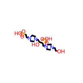 O=S(=O)(O)CCN1CCN(CC(O)C(CN2CCN(CCO)CC2)S(=O)(=O)O)CC1